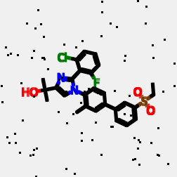 CCS(=O)(=O)c1cccc(-c2ccc(-n3cc(C(C)(C)O)nc3-c3c(F)cccc3Cl)c(C)c2)c1